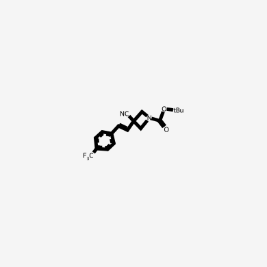 CC(C)(C)OC(=O)N1CC(C#N)(C=Cc2ccc(C(F)(F)F)cc2)C1